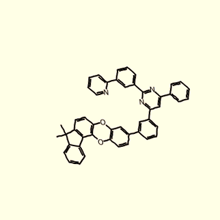 CC1(C)c2ccccc2-c2c1ccc1c2Oc2ccc(-c3cccc(-c4cc(-c5ccccc5)nc(-c5cccc(-c6ccccn6)c5)n4)c3)cc2O1